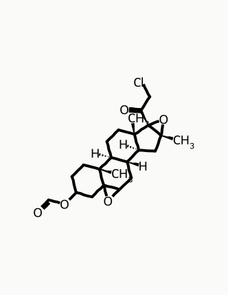 C[C@@]12C[C@H]3[C@@H]4CC5OC56CC(OC=O)CC[C@]6(C)[C@H]4CC[C@]3(C)[C@]1(C(=O)CCl)O2